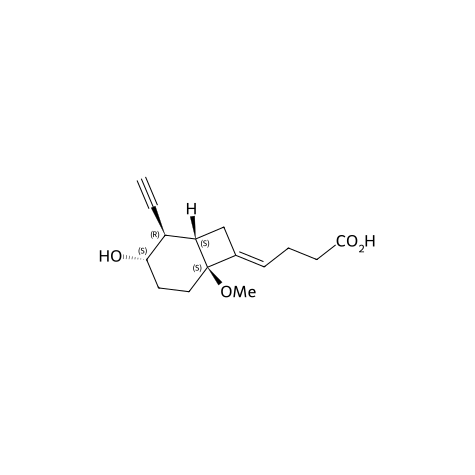 C#C[C@@H]1[C@@H](O)CC[C@@]2(OC)C(=CCCC(=O)O)C[C@@H]12